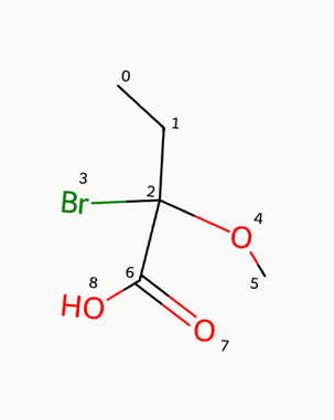 CCC(Br)(OC)C(=O)O